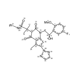 COc1ccc(F)cc1[C@@H](O)CN1C(=O)C(C(C)(C)C(=O)NC(C)C)C(=O)c2c1sc(-n1nccn1)c2C